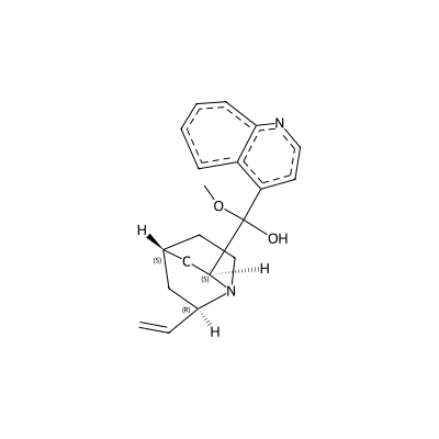 C=C[C@H]1C[C@@H]2CCN1[C@H](C(O)(OC)c1ccnc3ccccc13)C2